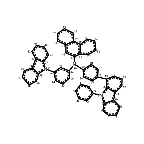 c1ccc(-n2c3ccccc3c3cccc(-c4ccc(N(c5cccc(-n6c7ccccc7c7ccccc76)c5)c5cc6ccccc6c6ccccc56)cc4)c32)cc1